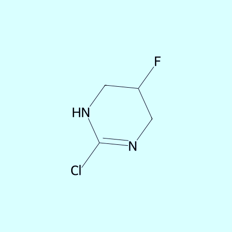 FC1CN=C(Cl)NC1